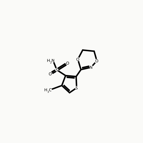 Cc1csc(C2=NOCCO2)c1S(N)(=O)=O